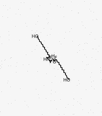 C=C(N[C@@H]1C[C@@H]1NC(=O)/C(F)=C\CCCCCCCCCCCCCCO)/C(F)=C\CCCCCCCCCCCCCCO